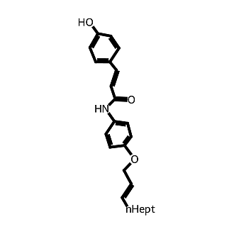 CCCCCCCC=CCOc1ccc(NC(=O)C=Cc2ccc(O)cc2)cc1